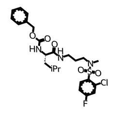 CC(C)C[C@H](NC(=O)OCc1ccccc1)C(=O)NCCCN(C)S(=O)(=O)c1ccc(F)cc1Cl